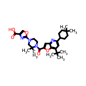 CC1(C)CCC(c2cc(C(C)(C)C)c3oc(C(=O)N4CCN(c5nc(C(=O)O)co5)CC4(C)C)cc3n2)CC1